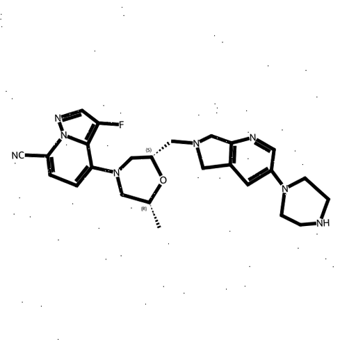 C[C@@H]1CN(c2ccc(C#N)n3ncc(F)c23)C[C@H](CN2Cc3cc(N4CCNCC4)cnc3C2)O1